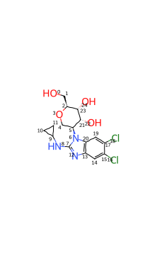 OC[C@@H]1OC[C@H](n2c(NC3CC3)nc3cc(Cl)c(Cl)cc32)[C@@H](O)[C@H]1O